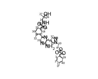 Cc1ccc(S(=O)(=O)OCCn2cc(-c3nc(-c4cc(S(=O)(=O)NCC(C)(C)O)ccc4C)cnc3N)cn2)cc1